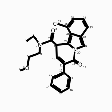 CCN(CCOC)C(=O)C1C=C(c2ccccc2)C(=O)n2cc3cccc(Cl)c3c21